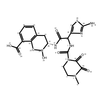 CN1CCN(C(=O)NC(C(=O)N[C@H]2Cc3cccc(C(=O)O)c3OB2O)c2csc(N)n2)C(=O)C1=O